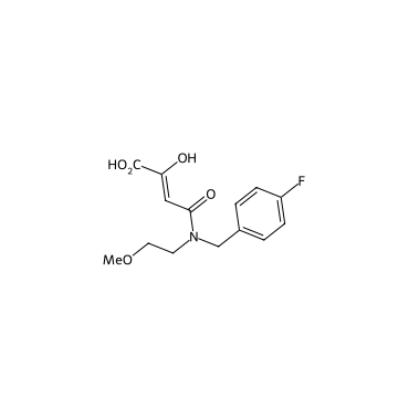 COCCN(Cc1ccc(F)cc1)C(=O)C=C(O)C(=O)O